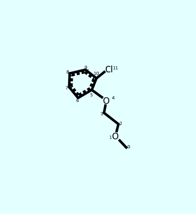 COCCOc1ccc[c]c1Cl